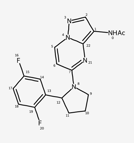 CC(=O)Nc1cnn2ccc(N3CCCC3c3cc(F)ccc3F)nc12